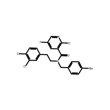 CC(C)(C)c1ccc(CN(CCc2ccc(Cl)c(Cl)c2)C(=O)c2cc(F)cnc2Cl)cc1